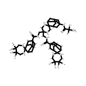 CC(F)(F)C(=O)OC12CC3CC(C1)C1(COC(COC(=O)C45CC6CC(C4)C4(OCC(F)(F)C(F)(F)CO4)C(C6)C5)(COC(=O)C45CC6CC(C4)C4(OCC(F)(F)C(F)(F)CO4)C(C6)C5)CO1)C(C3)C2